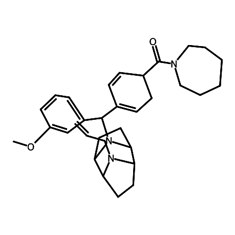 C=CCN1C2CCC1C1CCC2N1C(C1=CCC(C(=O)N2CCCCCC2)C=C1)c1cccc(OC)c1